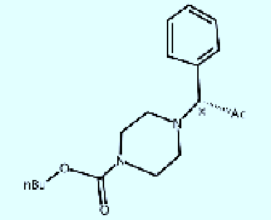 CCCCOC(=O)N1CCN([C@@H](C(C)=O)c2ccccc2)CC1